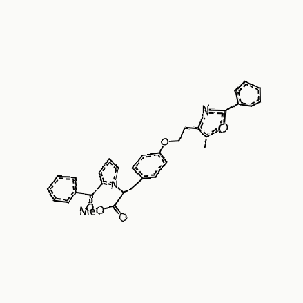 COC(=O)C(Cc1ccc(OCCc2nc(-c3ccccc3)oc2C)cc1)n1cccc1C(=O)c1ccccc1